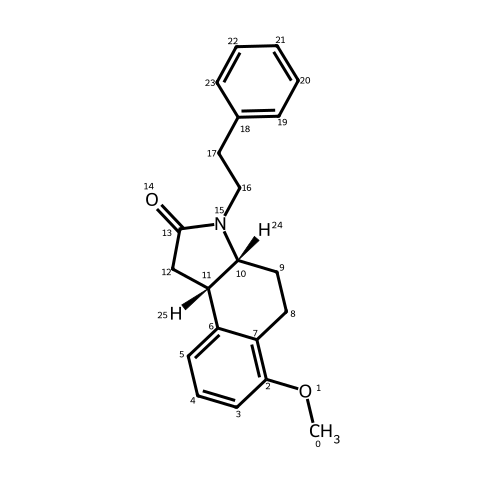 COc1cccc2c1CC[C@@H]1[C@H]2CC(=O)N1CCc1ccccc1